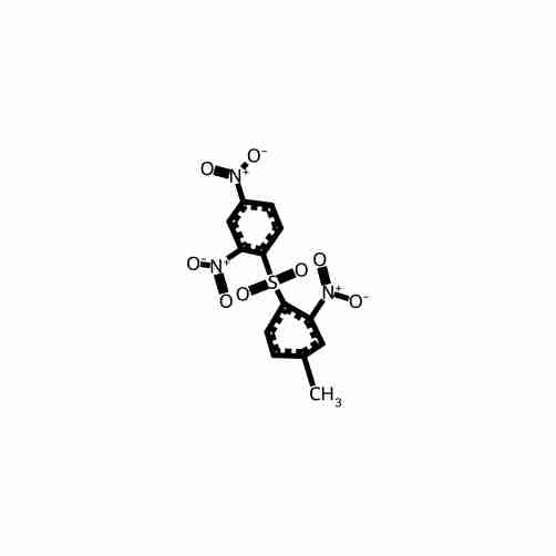 Cc1ccc(S(=O)(=O)c2ccc([N+](=O)[O-])cc2[N+](=O)[O-])c([N+](=O)[O-])c1